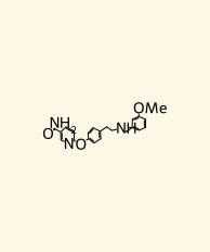 COc1cccc(CNCCc2ccc(Oc3ccc(C(N)=O)cn3)cc2)c1